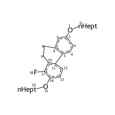 CCCCCCCOc1ccc2c(c1)CCc1c-2ccc(OCCCCCCC)c1F